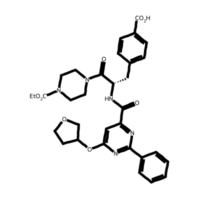 CCOC(=O)N1CCN(C(=O)[C@H](Cc2ccc(C(=O)O)cc2)NC(=O)c2cc(OC3CCOC3)nc(-c3ccccc3)n2)CC1